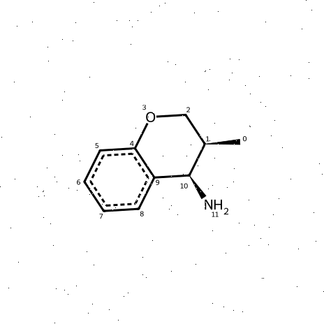 C[C@@H]1COc2ccccc2[C@@H]1N